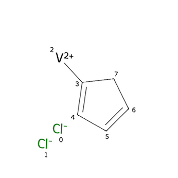 [Cl-].[Cl-].[V+2][C]1=CC=CC1